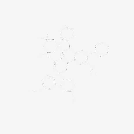 COc1ccc(C2(c3ccc(OC)cc3)C=Cc3c4c(c5cc(C6=CCCC=C6)c(OC)cc5c3C2)-c2ccccc2C42CC(C)(C)CC(C)(C)C2)cc1